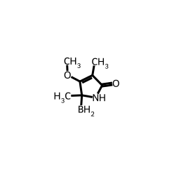 BC1(C)NC(=O)C(C)=C1OC